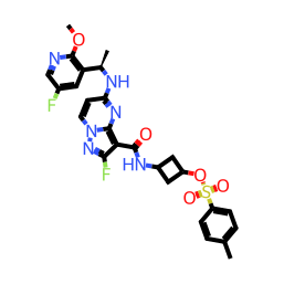 COc1ncc(F)cc1[C@@H](C)Nc1ccn2nc(F)c(C(=O)NC3CC(OS(=O)(=O)c4ccc(C)cc4)C3)c2n1